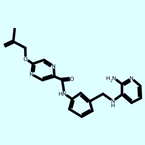 C=C(C)COc1cnc(C(=O)Nc2cccc(CNc3cccnc3N)c2)cn1